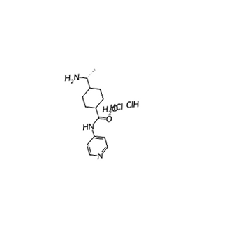 C[C@@H](N)C1CCC(C(=O)Nc2ccncc2)CC1.Cl.Cl.O